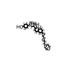 N/C(=C\N(N)c1ccc(O)cc1)c1ccc2cc(OCCOCCN3CCOCC3)ccc2n1